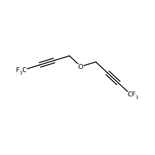 FC(F)(F)C#CCOCC#CC(F)(F)F